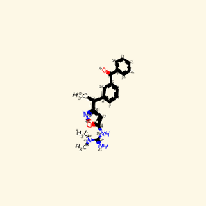 CC(c1cccc(C(=O)c2ccccc2)c1)c1cc(NC(=N)N(C)C)on1